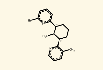 Cc1cccnc1[C@@H]1CCC[C@H](c2cccc(Br)n2)N1C